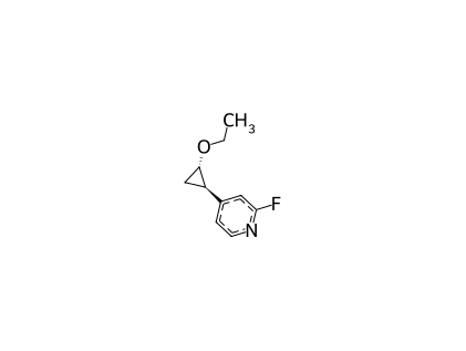 CCO[C@H]1C[C@@H]1c1ccnc(F)c1